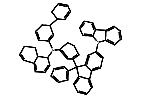 C1=CCC(C2C=C(N(C3=CC(C4(c5ccccc5)c5ccccc5-c5ccc(-n6c7ccccc7c7ccccc76)cc54)=CCC3)C3C=CC=C4C=CCCC43)C=CC2)C=C1